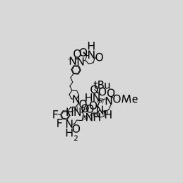 COC(=O)N1CC[C@H]2CC[C@@H](C(=O)N[C@@H](CCC(N)=O)C(=O)N[C@@H](Cc3ccc(F)c(F)c3)C(=O)N3CCC(CCCc4ccc5c(c4)n(C)c(=O)n5C4CCC(=O)NC4=O)CC3)N2C(=O)[C@@H](NC(=O)OC(C)(C)C)C1